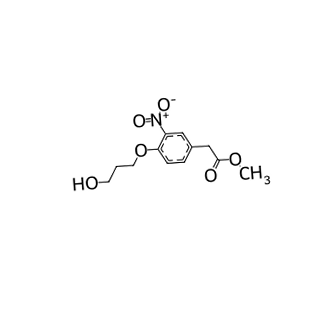 COC(=O)Cc1ccc(OCCCO)c([N+](=O)[O-])c1